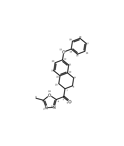 Cc1nnc(C(=O)C2CCc3cc(Oc4ccccc4)ccc3C2)o1